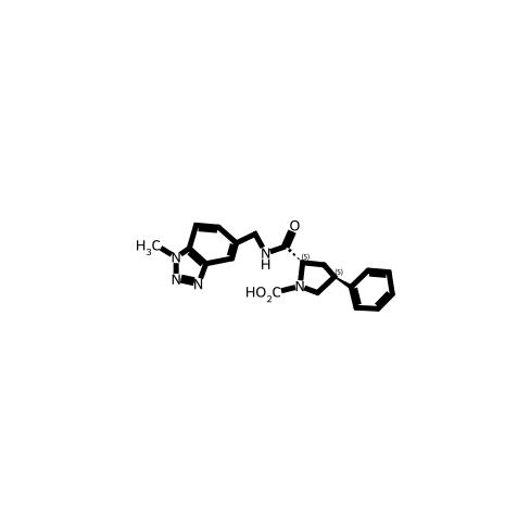 Cn1nnc2cc(CNC(=O)[C@@H]3C[C@@H](c4ccccc4)CN3C(=O)O)ccc21